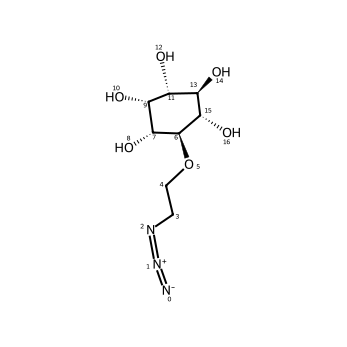 [N-]=[N+]=NCCO[C@H]1[C@H](O)[C@H](O)[C@H](O)[C@@H](O)[C@@H]1O